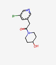 O=C(Cc1cncc(Br)c1)N1CCC(O)CC1